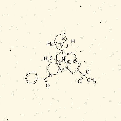 Cc1nc2cc(S(C)(=O)=O)ccc2n1C1C[C@H]2CC[C@@H](C1)N2CCC1(c2ccccc2)CCN(C(=O)c2ccccc2)CC1